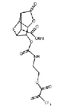 C=C(C(=O)OCCNC(=O)OC1C2OC(=O)C3C2SC1C3C(=O)OC)C(F)(F)F